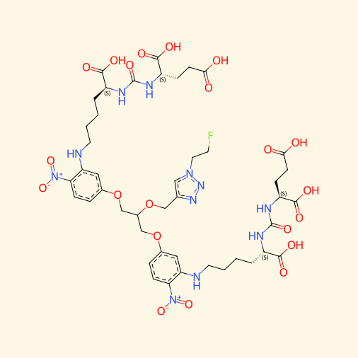 O=C(O)CC[C@H](NC(=O)N[C@@H](CCCCNc1cc(OCC(COc2ccc([N+](=O)[O-])c(NCCCC[C@H](NC(=O)N[C@@H](CCC(=O)O)C(=O)O)C(=O)O)c2)OCc2cn(CCF)nn2)ccc1[N+](=O)[O-])C(=O)O)C(=O)O